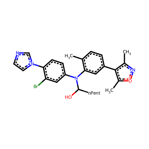 CCCCCC(O)N(c1ccc(-n2ccnc2)c(Br)c1)c1cc(-c2c(C)noc2C)ccc1C